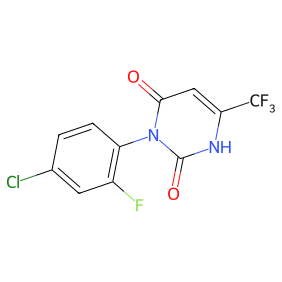 O=c1cc(C(F)(F)F)[nH]c(=O)n1-c1ccc(Cl)cc1F